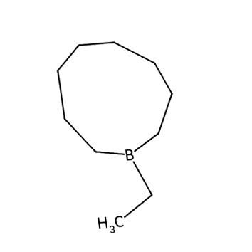 CCB1CCCCCCCC1